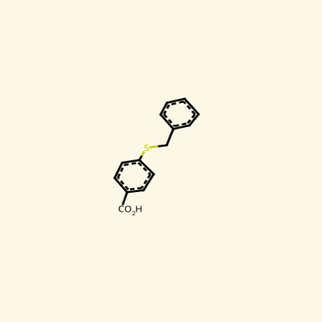 O=C(O)c1ccc(SCc2ccccc2)cc1